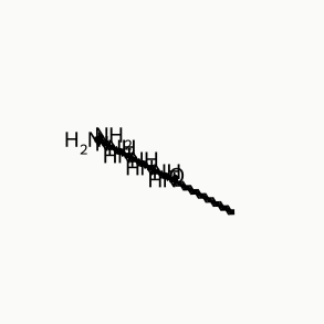 CCCCCCCCCCCCCCCCC(=O)NCCNCCNCCNCCNCCNCCN=C(N)N